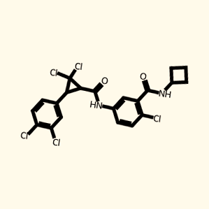 O=C(NC1CCC1)c1cc(NC(=O)C2C(c3ccc(Cl)c(Cl)c3)C2(Cl)Cl)ccc1Cl